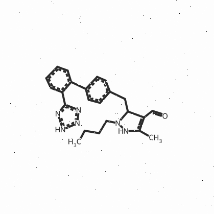 CCCCN1NC(C)=C(C=O)C1Cc1ccc(-c2ccccc2-c2nn[nH]n2)cc1